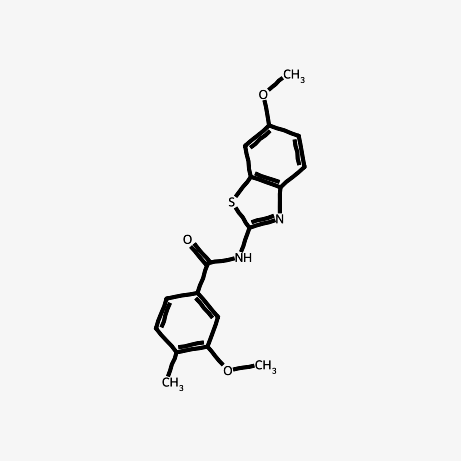 COc1ccc2nc(NC(=O)c3ccc(C)c(OC)c3)sc2c1